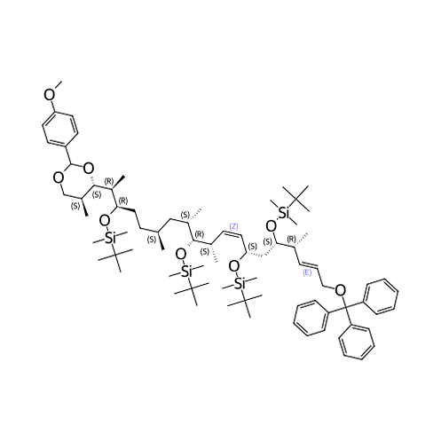 COc1ccc(C2OC[C@H](C)[C@@H]([C@@H](C)[C@@H](CC[C@H](C)C[C@H](C)[C@@H](O[Si](C)(C)C(C)(C)C)[C@@H](C)/C=C\[C@H](C[C@H](O[Si](C)(C)C(C)(C)C)[C@H](C)/C=C/COC(c3ccccc3)(c3ccccc3)c3ccccc3)O[Si](C)(C)C(C)(C)C)O[Si](C)(C)C(C)(C)C)O2)cc1